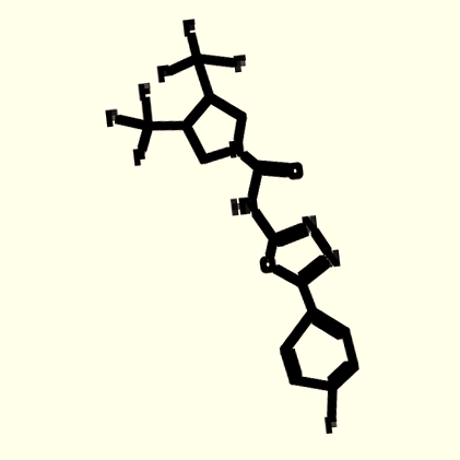 O=C(Nc1nnc(-c2ccc(F)cc2)o1)N1CC(C(F)(F)F)C(C(F)(F)F)C1